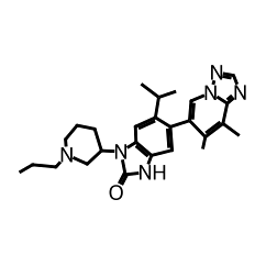 CCCN1CCCC(n2c(=O)[nH]c3cc(-c4cn5ncnc5c(C)c4C)c(C(C)C)cc32)C1